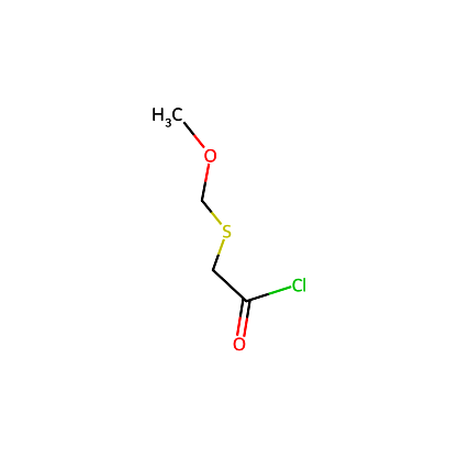 COCSCC(=O)Cl